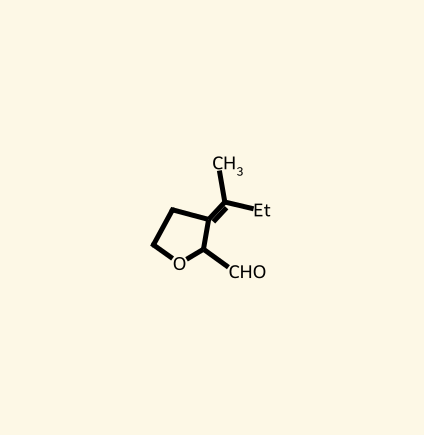 CCC(C)=C1CCOC1C=O